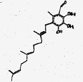 CC(C)=CCC/C(C)=C/CC/C(C)=C/Cc1c(C)c(C=O)c(O)c(O)c1O